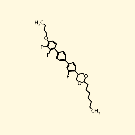 CCCCCCCC1OCC(c2ccc(-c3ccc(-c4ccc(OCCCC)c(F)c4F)cc3)cc2F)CO1